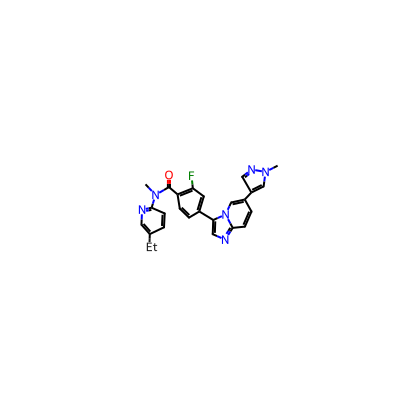 CCc1ccc(N(C)C(=O)c2ccc(-c3cnc4ccc(-c5cnn(C)c5)cn34)cc2F)nc1